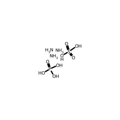 N.N.N.O=P(O)(O)O.O=S(=O)(O)O